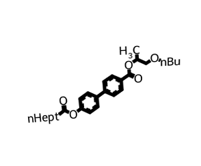 CCCCCCCC(=O)Oc1ccc(-c2ccc(C(=O)OC(C)COCCCC)cc2)cc1